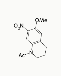 COc1cc2c(cc1[N+](=O)[O-])N(C(C)=O)CCC2